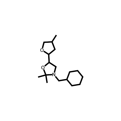 CC1COC(C2CN(CC3CCCCC3)C(C)(C)O2)C1